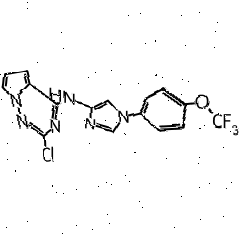 FC(F)(F)Oc1ccc(-n2cnc(Nc3nc(Cl)nn4cccc34)c2)cc1